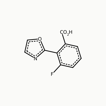 O=C(O)c1cccc(F)c1-c1ncco1